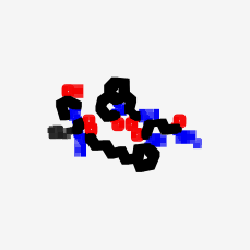 CC(C)(C)[C@H](NC(=O)CCCCCc1cccc(NC(=O)[C@H](CCC(N)=O)NC(=O)[C@@H]2Cc3cccc4c3N2C(=O)CCC4)c1)C(=O)N1CC[C@@H](O)C1